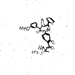 COc1cccc(C(NC(=O)c2cccs2)C(=O)Nc2ccc(C(=O)N[C@@H](C)C(=O)O)c(Cl)c2)c1